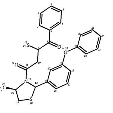 O=C(c1ccccc1)C(S)CC(=O)N1C(c2cccc(Oc3ccccc3)c2)SC[C@H]1C(=O)O